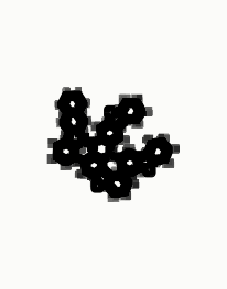 c1ccc2cc3c(cc2c1)c1cccc2c1n3B1c3cc4oc5ccccc5c4cc3N(c3ccc4oc5ccccc5c4c3)c3c1c-2cc1oc2ccccc2c31